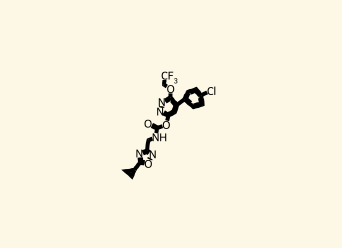 O=C(NCc1noc(C2CC2)n1)Oc1cc(-c2ccc(Cl)cc2)c(OCC(F)(F)F)nn1